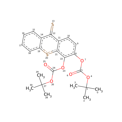 CC(C)(C)OC(=O)Oc1ccc2c(=S)c3ccccc3sc2c1OC(=O)OC(C)(C)C